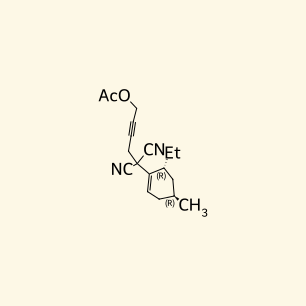 CC[C@@H]1C[C@@H](C)CC=C1C(C#N)(C#N)CC#CCOC(C)=O